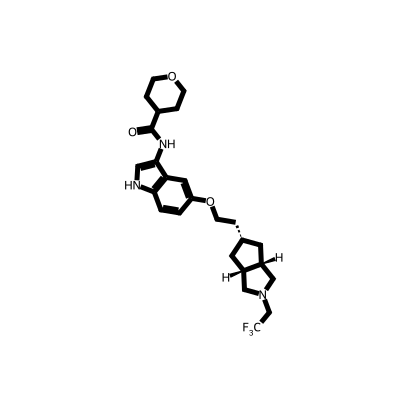 O=C(Nc1c[nH]c2ccc(OCC[C@@H]3C[C@@H]4CN(CC(F)(F)F)C[C@@H]4C3)cc12)C1CCOCC1